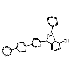 CC1C=CC=C2C1N1C(c3ccccc3)[N@]1C2c1ccc(C2=CC=C(c3ccccc3)CC2)cc1